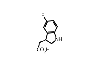 O=C(O)C[C@@H]1CNc2ccc(F)cc21